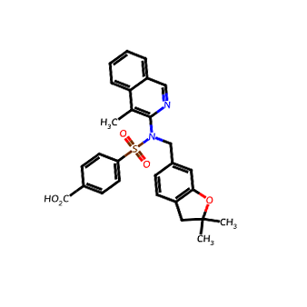 Cc1c(N(Cc2ccc3c(c2)OC(C)(C)C3)S(=O)(=O)c2ccc(C(=O)O)cc2)ncc2ccccc12